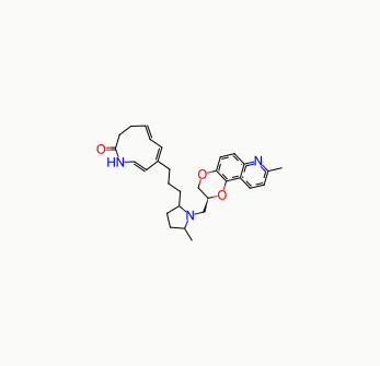 Cc1ccc2c3c(ccc2n1)OC[C@H](CN1C(C)CCC1CCCC1=C/C=C/CCC(=O)N\C=C\1)O3